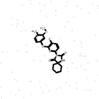 COc1cc(Oc2nc(N3C(=O)NC4(CCCCC4)C3=O)ccc2F)ccc1C